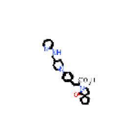 O=C(O)C(Cc1ccc(N2CCC(CNc3ccccn3)CC2)cc1)N1CCC2(CCCC2)C1=O